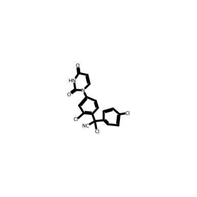 N#CC(Cl)(c1ccc(Cl)cc1)c1ccc(-n2ccc(=O)[nH]c2=O)cc1Cl